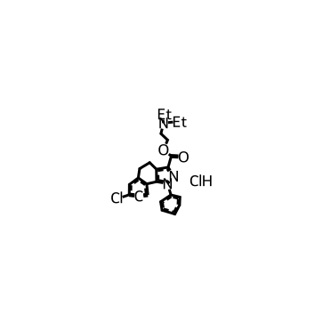 CCN(CC)CCOC(=O)c1nn(-c2ccccc2)c2c1CCc1cc(Cl)ccc1-2.Cl